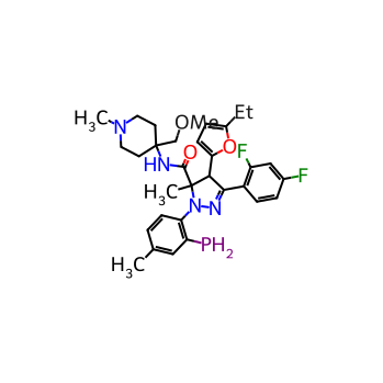 CCc1ccc(C2C(c3ccc(F)cc3F)=NN(c3ccc(C)cc3P)C2(C)C(=O)NC2(COC)CCN(C)CC2)o1